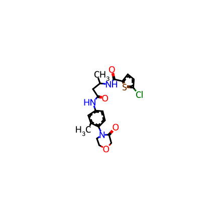 Cc1cc(NC(=O)CC(C)NC(=O)c2ccc(Cl)s2)ccc1N1CCOCC1=O